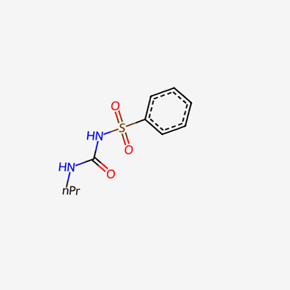 CCCNC(=O)NS(=O)(=O)c1ccccc1